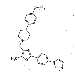 Cc1oc(-c2ccc(-n3ccnc3)cc2)nc1CN1CCC(c2ccc(OC(F)(F)F)cc2)CC1